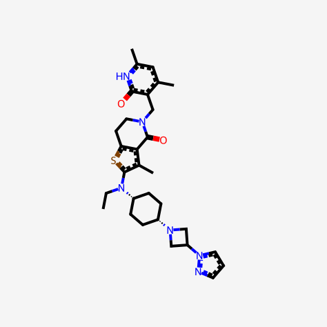 CCN(c1sc2c(c1C)C(=O)N(Cc1c(C)cc(C)[nH]c1=O)CC2)[C@H]1CC[C@@H](N2CC(n3cccn3)C2)CC1